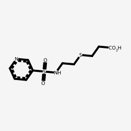 O=C(O)CCSCCNS(=O)(=O)c1cccnc1